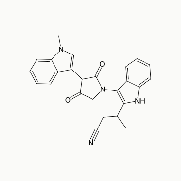 CC(CC#N)c1[nH]c2ccccc2c1N1CC(=O)C(c2cn(C)c3ccccc23)C1=O